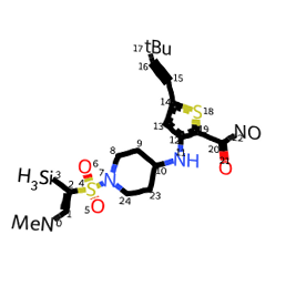 CN/C=C(\[SiH3])S(=O)(=O)N1CCC(Nc2cc(C#CC(C)(C)C)sc2C(=O)N=O)CC1